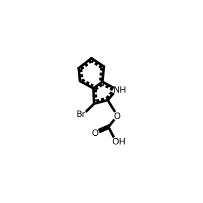 O=C(O)Oc1[nH]c2ccccc2c1Br